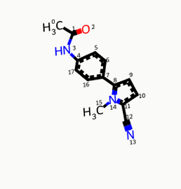 CC(=O)Nc1ccc(-c2ccc(C#N)n2C)cc1